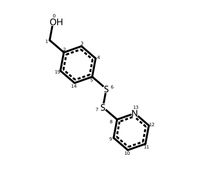 OCc1ccc(SSc2ccccn2)cc1